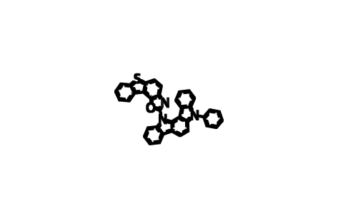 c1ccc(-n2c3ccccc3c3c2ccc2c4ccccc4n(-c4nc5ccc6sc7ccccc7c6c5o4)c23)cc1